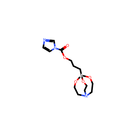 O=C(OCCC[Si]12OCCN(CCO1)CCO2)n1ccnc1